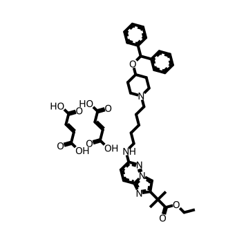 CCOC(=O)C(C)(C)c1cn2nc(NCCCCCN3CCC(OC(c4ccccc4)c4ccccc4)CC3)ccc2n1.O=C(O)C=CC(=O)O.O=C(O)C=CC(=O)O